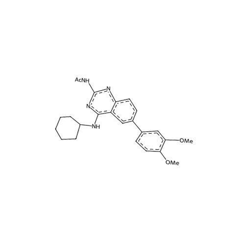 COc1ccc(-c2ccc3nc(NC(C)=O)nc(NC4CCCCC4)c3c2)cc1OC